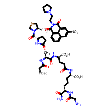 CCCCCCCCCCCC(=O)N[C@@H](C)C(=O)N[C@H](CCC(=O)N[C@@H](CCC[C@H](NC(=O)CN)C(N)=O)C(=O)O)C(=O)O.O=C1CC[C@@H](C(=O)N2CSC[C@H]2C(=O)O)N1.O=C1c2cccc3cc([N+](=O)[O-])cc(c23)C(=O)N1CCN1CCCC1